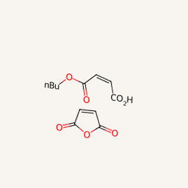 CCCCOC(=O)/C=C\C(=O)O.O=C1C=CC(=O)O1